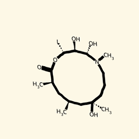 C[C@H]1C[C@@H](C)C(=O)O[C@H](I)[C@@H](O)[C@H](O)N(C)CCC[C@@](C)(O)C1